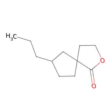 CCCC1CCC2(CCOC2=O)C1